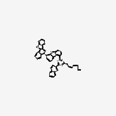 C=C/C=C\C=C/Cc1nc(-c2ccc3ccccc3c2)nc(-c2cccc3oc4c(-c5cc6c7ccccc7oc6c6ccccc56)cccc4c23)n1